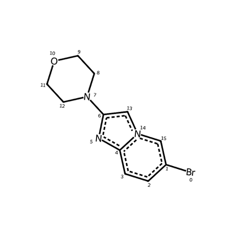 Brc1ccc2nc(N3CCOCC3)cn2c1